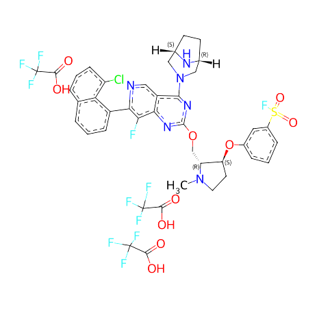 CN1CC[C@H](Oc2cccc(S(=O)(=O)F)c2)[C@H]1COc1nc(N2C[C@H]3CC[C@@H](C2)N3)c2cnc(-c3cccc4cccc(Cl)c34)c(F)c2n1.O=C(O)C(F)(F)F.O=C(O)C(F)(F)F.O=C(O)C(F)(F)F